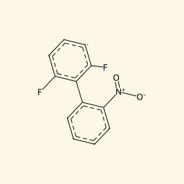 O=[N+]([O-])c1ccccc1-c1c(F)[c]ccc1F